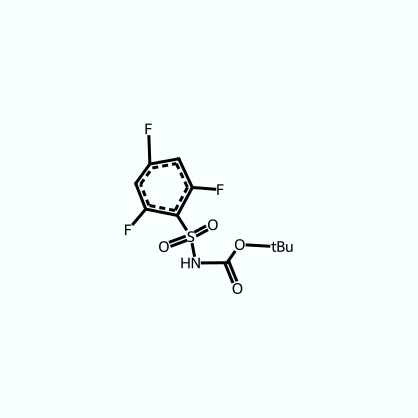 CC(C)(C)OC(=O)NS(=O)(=O)c1c(F)cc(F)cc1F